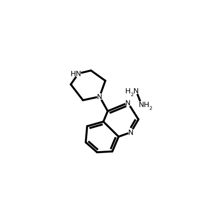 NN.c1ccc2c(N3CCNCC3)ncnc2c1